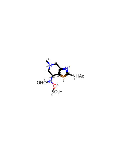 CC(=O)Nc1nc2c(s1)C(N(C=O)OS(=O)(=O)O)CN(C)C2